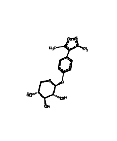 Cc1noc(C)c1-c1ccc(O[C@@H]2SC[C@@H](O)[C@H](O)[C@H]2O)cc1